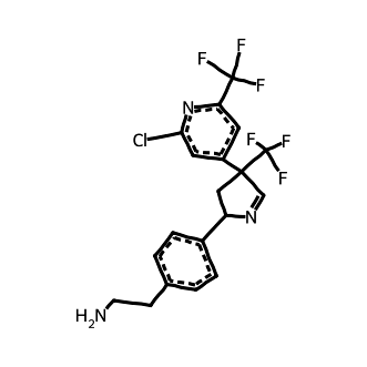 NCCc1ccc(C2CC(c3cc(Cl)nc(C(F)(F)F)c3)(C(F)(F)F)C=N2)cc1